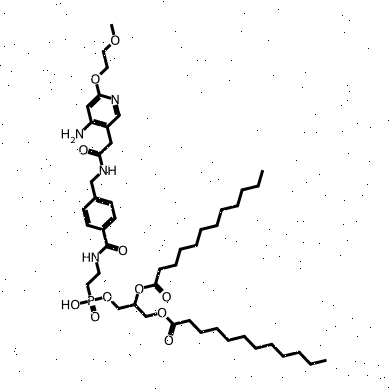 CCCCCCCCCCCC(=O)OCC(COP(=O)(O)CCNC(=O)c1ccc(CNC(=O)Cc2cnc(OCCOC)cc2N)cc1)OC(=O)CCCCCCCCCCC